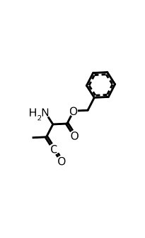 CC(=C=O)C(N)C(=O)OCc1ccccc1